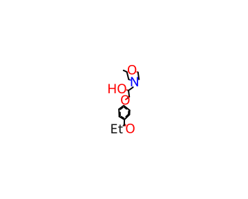 CCC(=O)c1ccc(OCC(O)CN2CCOC(C)C2)cc1